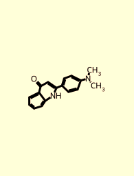 CN(C)c1ccc(-c2cc(=O)c3ccccc3[nH]2)cc1